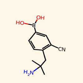 CC(C)(N)Cc1ccc(B(O)O)cc1C#N